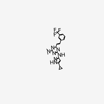 CN(C)c1nc(/C=C/c2cccc(C(F)(F)F)c2)nc(Nc2cc(C3CC3)[nH]n2)n1